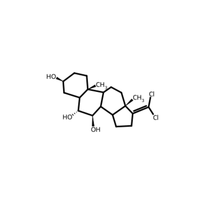 C[C@]12CC[C@H](O)CC1[C@@H](O)[C@H](O)C1C2CC[C@]2(C)C(=C(Cl)Cl)CCC12